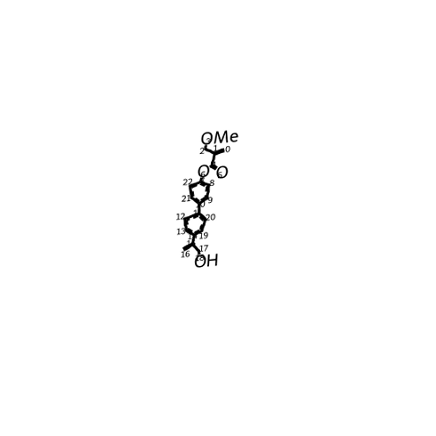 C=C(COC)C(=O)Oc1ccc(-c2ccc(C(=C)CO)cc2)cc1